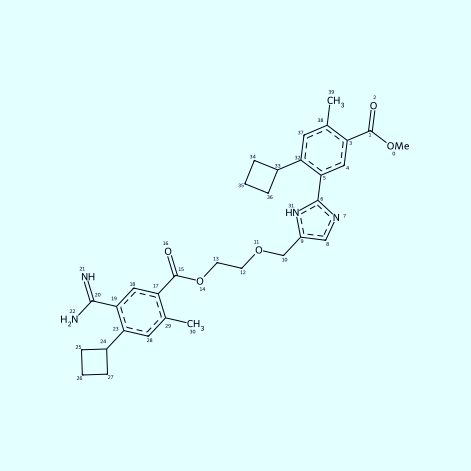 COC(=O)c1cc(-c2ncc(COCCOC(=O)c3cc(C(=N)N)c(C4CCC4)cc3C)[nH]2)c(C2CCC2)cc1C